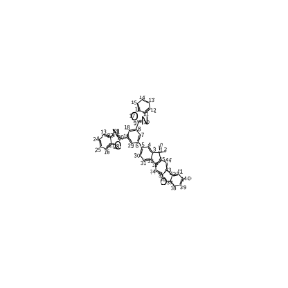 CC1(C)c2cc(-c3cc(-c4nc5ccccc5o4)cc(-c4nc5ccccc5o4)c3)ccc2-c2cc3oc4ccccc4c3cc21